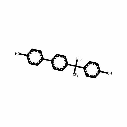 Oc1ccc(-c2ccc(C(c3ccc(O)cc3)(C(F)(F)F)C(F)(F)F)cc2)cc1